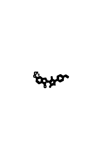 C=Cc1ccc(-c2nn(C)c(N3Cc4cc(OC(F)(F)F)ccc4C3=O)c2C)cc1